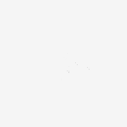 CC(Cc1ccccc1)N1Cc2cccnc2N(c2ccccc2[S+](C)[O-])C1=O